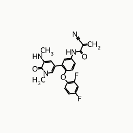 C=C(C#N)C(=O)Nc1ccc(Oc2ccc(F)cc2F)c(-c2cc(NC)c(=O)n(C)c2)c1